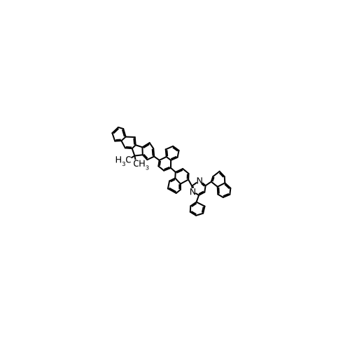 CC1(C)c2cc(-c3ccc(-c4ccc(-c5nc(-c6ccccc6)cc(-c6cccc7ccccc67)n5)c5ccccc45)c4ccccc34)ccc2-c2cc3ccccc3cc21